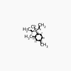 C=C[Si](Cl)(C=C)c1ccc(C)cc1C